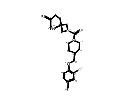 O=C1CCC2(CN(C(=O)N3CCC(COc4ccc(F)cc4Cl)CC3)C2)NC1